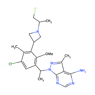 COc1c(C(C)n2nc(C)c3c(N)ncnc32)cc(Cl)c(C)c1C1CN(C(C)CF)C1